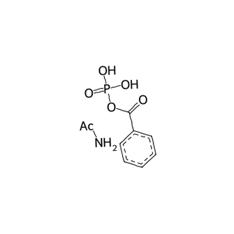 CC(N)=O.O=C(OP(=O)(O)O)c1ccccc1